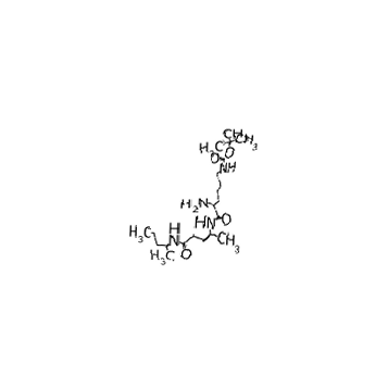 CCCC(C)NC(=O)CCC(C)NC(=O)C(N)CCCCNC(=O)OC(C)(C)C